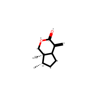 C=C1C(=O)OC[C@H]2C1CC[C@@H]2C